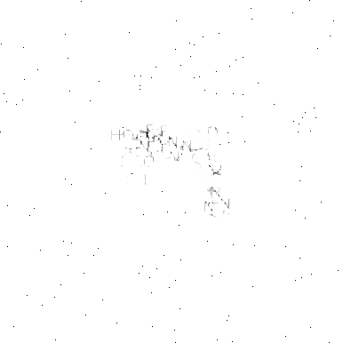 CC1CC2CC(C1)C(NC(=O)c1cnc(N3CC4(CCOC4)c4cc(OC5CCN(c6ncccn6)CC5)ccc43)nc1C(F)(F)F)(C(=O)O)C2